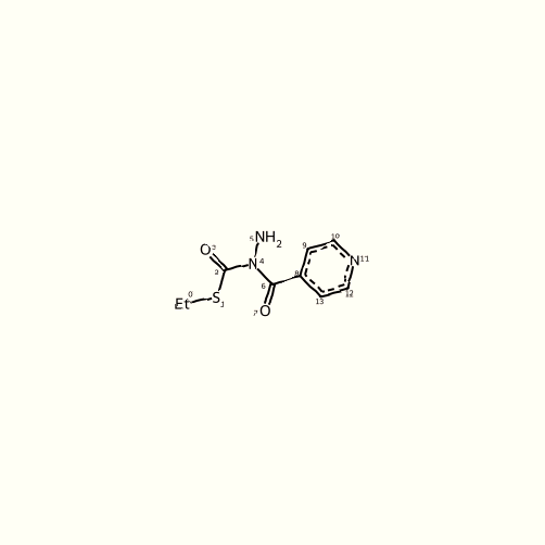 CCSC(=O)N(N)C(=O)c1ccncc1